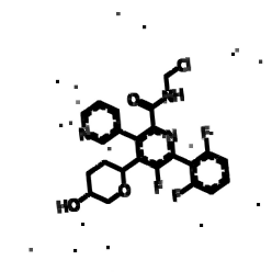 O=C(NCCl)c1nc(-c2c(F)cccc2F)c(F)c(C2CCC(O)CO2)c1-c1cccnc1